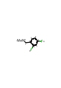 C[N]Cc1ccc(F)cc1F